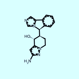 Nc1cc2n(n1)CC[C@H]([C@@H]1c3ccccc3-c3cncn31)[C@H]2O